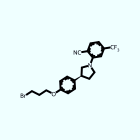 N#Cc1ccc(C(F)(F)F)cc1N1CC[C@@H](c2ccc(OCCCBr)cc2)C1